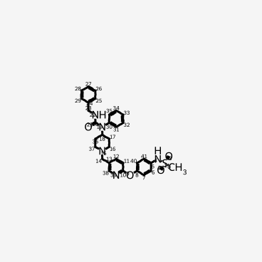 CS(=O)(=O)Nc1ccc(Oc2ccc(CN3CCC(N(C(=O)NCc4ccccc4)c4ccccc4)CC3)cn2)cc1